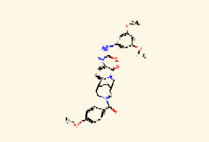 COc1ccc(C(=O)N2CC3CC(C2)c2ccc(NC(=O)Nc4cc(OC)cc(OC)c4)c(=O)n2C3)cc1